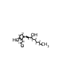 CCCCCCC(O)C#C[C@@H]1CC[C@@H](O)[C@H]1CC=O